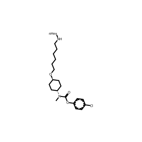 CCCCCCNCCCCCCO[C@H]1CC[C@H](N(C)C(=O)Oc2ccc(Cl)cc2)CC1